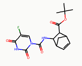 CC(C)(C)OC(=O)C1C2C=CC(C2)C1NC(=O)n1cc(F)c(=O)[nH]c1=O